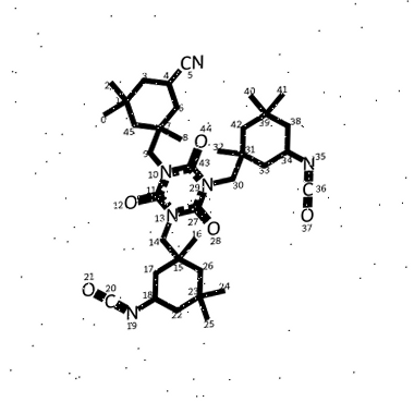 CC1(C)CC(C#N)CC(C)(Cn2c(=O)n(CC3(C)CC(N=C=O)CC(C)(C)C3)c(=O)n(CC3(C)CC(N=C=O)CC(C)(C)C3)c2=O)C1